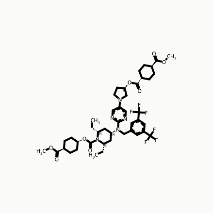 CC[C@@H]1C[C@H](N(Cc2cc(C(F)(F)F)cc(C(F)(F)F)c2)c2ncc(N3CC[C@H](OC(=O)[C@H]4CC[C@H](C(=O)OC)CC4)C3)cn2)C[C@H](CC)N1C(=O)O[C@H]1CC[C@H](C(=O)OC)CC1